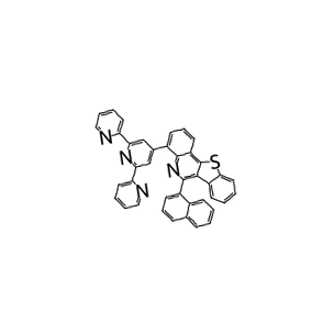 c1ccc(-c2cc(-c3cccc4c3nc(-c3cccc5ccccc35)c3c5ccccc5sc43)cc(-c3ccccn3)n2)nc1